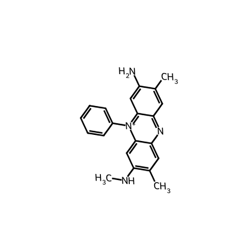 CNc1cc2c(cc1C)nc1cc(C)c(N)cc1[n+]2-c1ccccc1